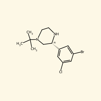 CC(C)(C)N1CCN[C@H](c2cc(Cl)cc(Br)c2)C1